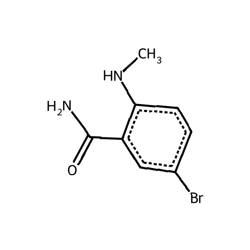 CNc1ccc(Br)cc1C(N)=O